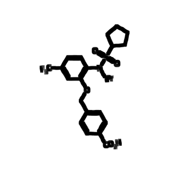 CC(C)N(c1ccc(C(F)(F)F)cc1OCc1ccc(C(=O)O)cc1)S(=O)(=O)C1CCCC1